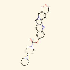 O=C(Oc1ccc2nc3c(cc2c1)cn1cc2c(cc31)C=COC2)N1CCC(N2CCCCC2)CC1